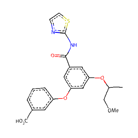 COCC(C)Oc1cc(Oc2cccc(C(=O)O)c2)cc(C(=O)Nc2nccs2)c1